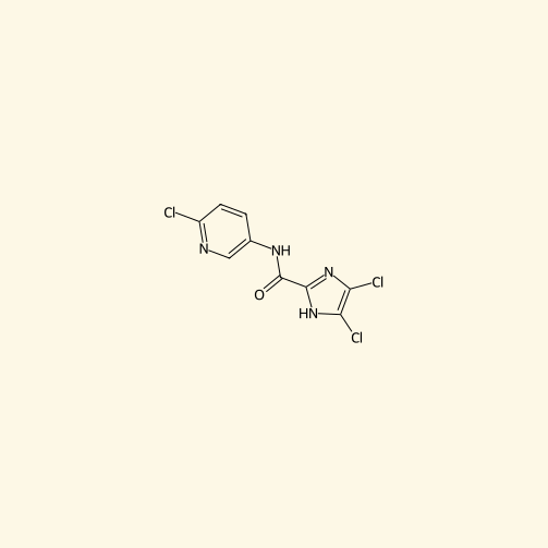 O=C(Nc1ccc(Cl)nc1)c1nc(Cl)c(Cl)[nH]1